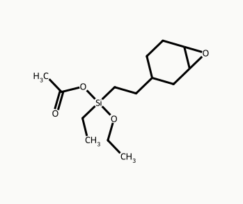 CCO[Si](CC)(CCC1CCC2OC2C1)OC(C)=O